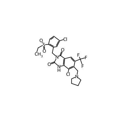 CCS(=O)(=O)c1ccc(Cl)cc1Cn1c(=O)[nH]c2c(Cl)c(CN3CCCC3)c(C(F)(F)F)cc2c1=O